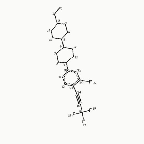 CCC1CCC(C2CCC(c3ccc(C#CC(F)(F)F)c(F)c3)CC2)CC1